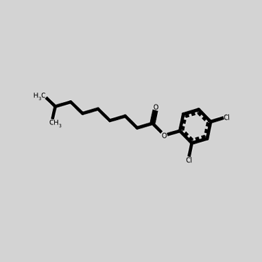 CC(C)CCCCCCC(=O)Oc1ccc(Cl)cc1Cl